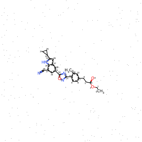 CCOC(=O)CCc1ccc(-c2noc(-c3cc(C#N)c4[nH]c(C5CC5)cc4c3)n2)c(C)c1